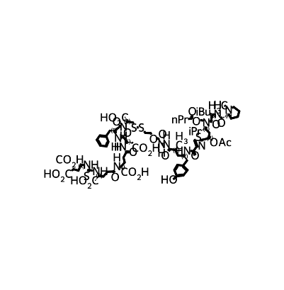 CCCC(=O)OCN(C(=O)[C@@H](NC(=O)[C@H]1CCCCN1C)C(C)CC)[C@H](C[C@@H](OC(C)=O)c1nc(C(=O)N[C@@H](Cc2ccc(O)cc2)C[C@H](C)C(=O)NNC(=O)OCCSSC[C@H](NC(=O)[C@H](Cc2ccccc2)NC(=O)[C@H](CC(=O)O)NC(=O)CC[C@H](NC(=O)CC[C@@H](NC(=S)N[C@H](CCC(=O)O)C(=O)O)C(=O)O)C(=O)O)C(=O)O)cs1)C(C)C